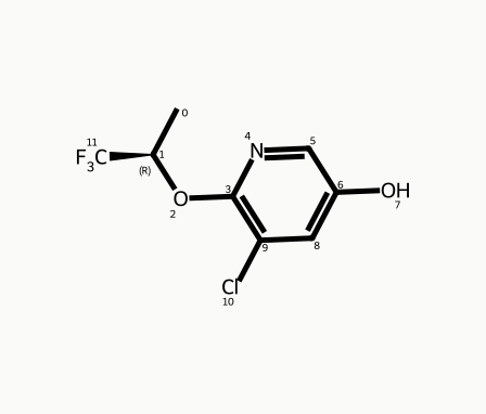 C[C@@H](Oc1ncc(O)cc1Cl)C(F)(F)F